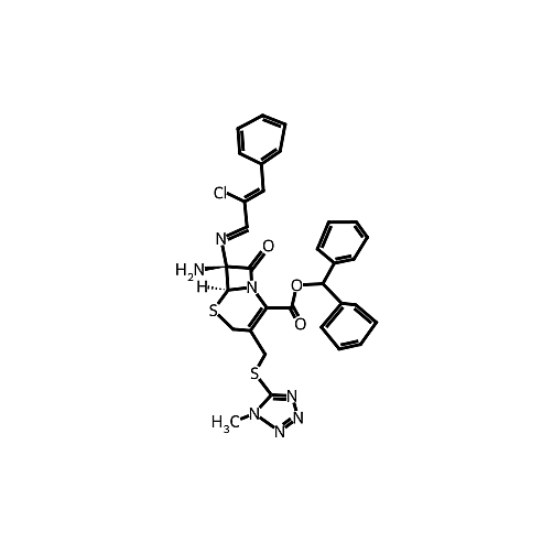 Cn1nnnc1SCC1=C(C(=O)OC(c2ccccc2)c2ccccc2)N2C(=O)[C@@](N)(N=CC(Cl)=Cc3ccccc3)[C@@H]2SC1